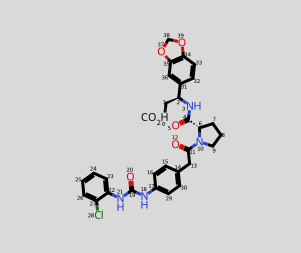 O=C(O)C[C@H](NC(=O)[C@@H]1CCCN1C(=O)Cc1ccc(NC(=O)Nc2ccccc2Cl)cc1)c1ccc2c(c1)OCO2